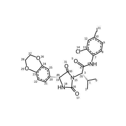 CC(C)[C@@H](C(=O)Nc1ccc(I)cc1Cl)N1C(=O)N[C@H](c2ccc3c(c2)OCCO3)C1=O